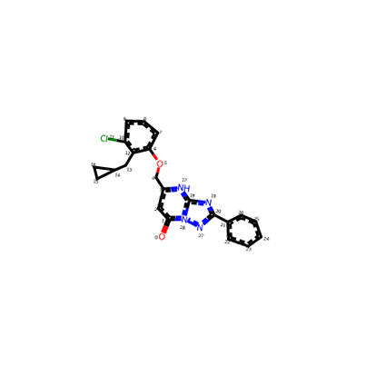 O=c1cc(COc2cccc(Cl)c2CC2CC2)[nH]c2nc(-c3ccccc3)nn12